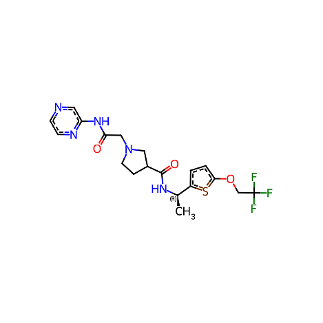 C[C@@H](NC(=O)C1CCN(CC(=O)Nc2cnccn2)C1)c1ccc(OCC(F)(F)F)s1